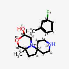 Cc1cc(F)ccc1[C@H]1C[C@@]2(CCN1)CC[C@]1(C)COC(O)CN12